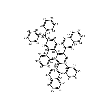 c1ccc(-c2cc(-c3ccc4ccccc4c3)c3c4ccc(N(c5ccccc5)c5ccccc5)cc4c4ccccc4c3c2-c2ccc3ccccc3c2)cc1